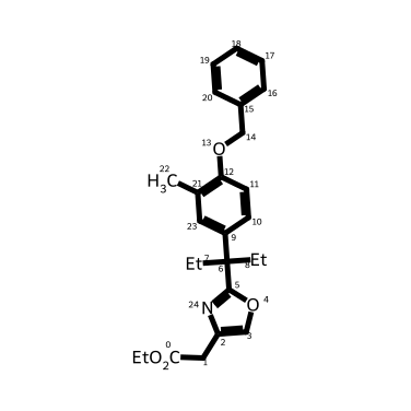 CCOC(=O)Cc1coc(C(CC)(CC)c2ccc(OCc3ccccc3)c(C)c2)n1